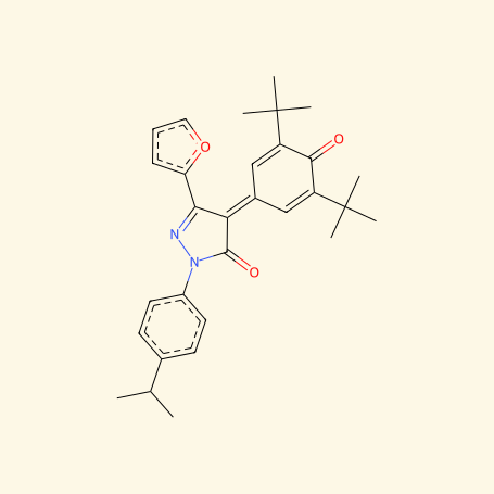 CC(C)c1ccc(N2N=C(c3ccco3)C(=C3C=C(C(C)(C)C)C(=O)C(C(C)(C)C)=C3)C2=O)cc1